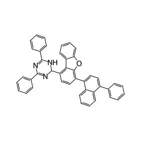 c1ccc(C2=NC(c3ccc(-c4ccc(-c5ccccc5)c5ccccc45)c4oc5ccccc5c34)NC(c3ccccc3)=N2)cc1